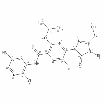 CCn1c(CO)nn(-c2nc(OC(C)C(F)(F)F)c(C(=O)Nc3cc(C#N)cnc3Cl)cc2F)c1=O